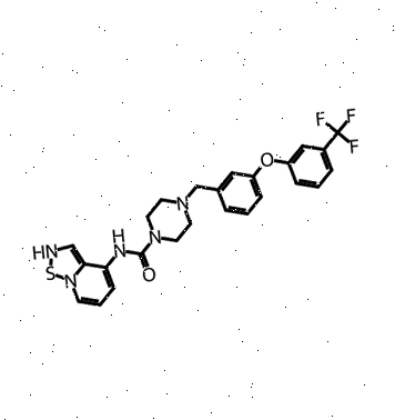 O=C(NC1=CC=CN2SNC=C12)N1CCN(Cc2cccc(Oc3cccc(C(F)(F)F)c3)c2)CC1